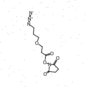 [N-]=[N+]=NCCCOCCC(=O)ON1C(=O)CCC1=O